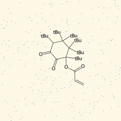 C=CC(=O)OC1(C(C)(C)C)C(=O)C(=O)C(C(C)(C)C)C(C(C)(C)C)(C(C)(C)C)C1(C(C)(C)C)C(C)(C)C